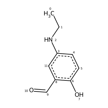 CCNc1ccc(O)c(C=O)c1